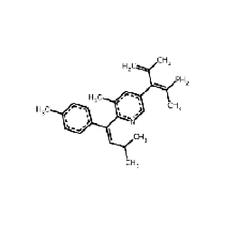 C=C(C)/C(=C(/C)P)c1cnc(/C(=C\C(C)C)c2ccc(C)cc2)c(C)c1